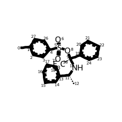 Cc1ccc(S(=O)(=O)O[C@](N[C@H](C)c2ccccc2)(c2ccccc2)C(F)(F)F)cc1